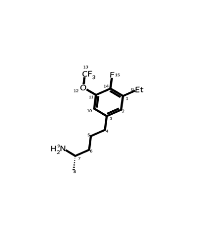 CCc1cc(CCC[C@H](C)N)cc(OC(F)(F)F)c1F